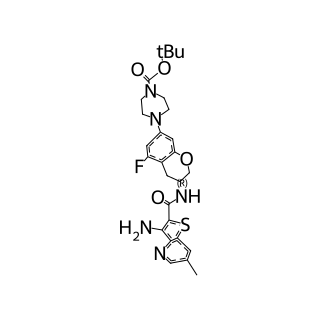 Cc1cnc2c(N)c(C(=O)N[C@H]3COc4cc(N5CCN(C(=O)OC(C)(C)C)CC5)cc(F)c4C3)sc2c1